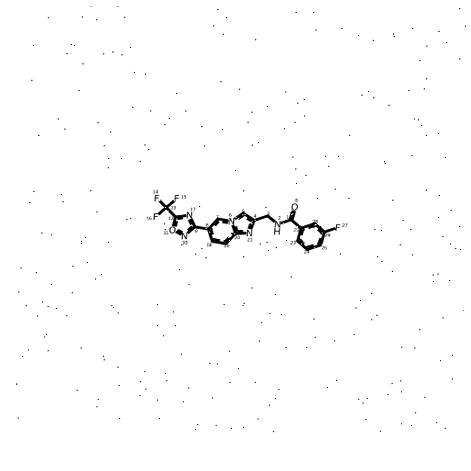 O=C(NCc1cn2cc(-c3noc(C(F)(F)F)n3)ccc2n1)c1cccc(F)c1